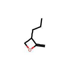 C=C1OCC1CCC